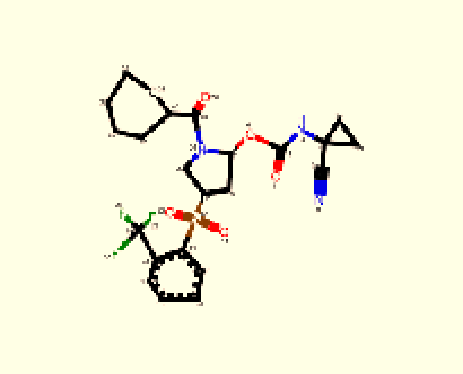 N#CC1(NC(=O)O[C@H]2C[C@@H](S(=O)(=O)c3ccccc3C(F)(F)F)CN2C(=O)C2CCCCC2)CC1